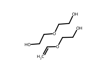 C=COCCO.OCCOCCO